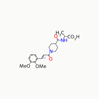 COc1cccc(/C=C/C(=O)N2CCC(C(=O)NC(C)C(=O)O)CC2)c1OC